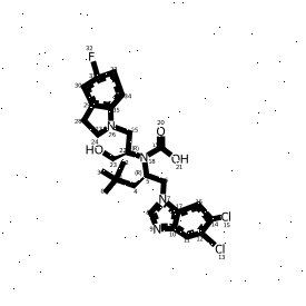 CC(C)(C)C[C@H](Cn1cnc2cc(Cl)c(Cl)cc21)N(C(=O)O)[C@@H](CO)CN1CCc2cc(F)ccc21